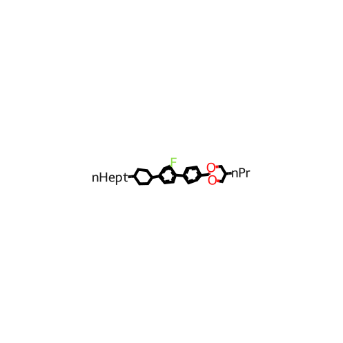 CCCCCCCC1CCC(c2ccc(-c3ccc(C4OCC(CCC)CO4)cc3)c(F)c2)CC1